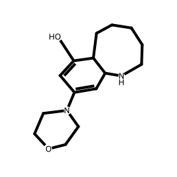 OC1=CC(N2CCOCC2)=CC2NCCCCCC12